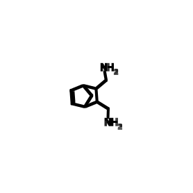 NCC1C2C=CC(C2)C1CN